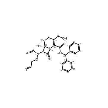 C=CCON(C=O)C1C(=O)N2C(C(=O)OC(c3ccccc3)c3ccccc3)=C(CO)CS[C@H]12